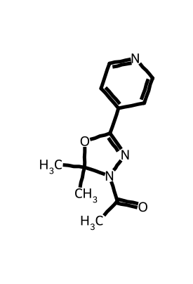 CC(=O)N1N=C(c2ccncc2)OC1(C)C